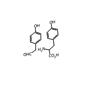 NC(Cc1ccc(O)cc1)C(=O)O.O=CCc1ccc(O)cc1